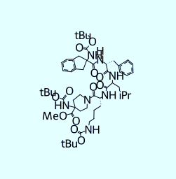 COC(=O)C1(NC(=O)OC(C)(C)C)CCN(C(=O)[C@@H](CCCCNC(=O)OC(C)(C)C)NC(=O)C(CC(C)C)NC(=O)[C@@H](Cc2ccccc2)NC(=O)C2(NC(=O)OC(C)(C)C)Cc3ccccc3C2)CC1